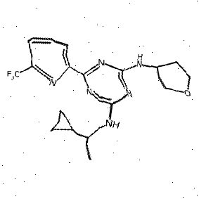 CC(Nc1nc(NC2CCOC2)nc(-c2cccc(C(F)(F)F)n2)n1)C1CC1